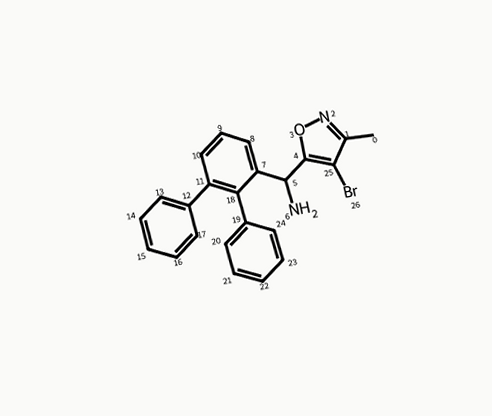 Cc1noc(C(N)c2cccc(-c3ccccc3)c2-c2ccccc2)c1Br